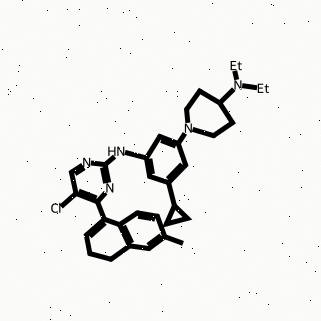 CCN(CC)C1CCN(c2cc(Nc3ncc(Cl)c(C4=CCCc5cc(C)ccc54)n3)cc(C3CC3)c2)CC1